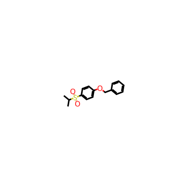 CC(C)S(=O)(=O)c1ccc(OCc2ccccc2)cc1